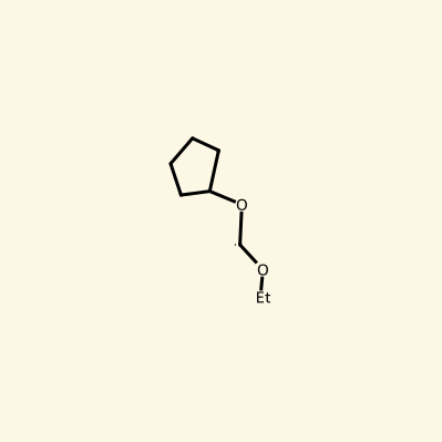 CCO[CH]OC1CCCC1